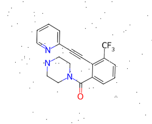 O=C(c1cccc(C(F)(F)F)c1C#Cc1ccccn1)N1CC[N]CC1